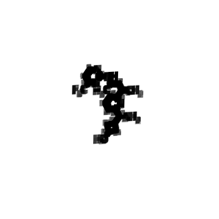 C=C(/C=C(\C)Nc1nccc(C(F)(F)F)n1)c1cccc([C@@H](N)C2CC(O)C2)n1